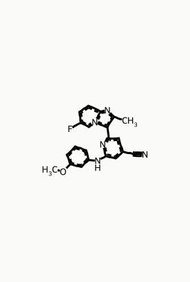 COc1cccc(Nc2cc(C#N)cc(-c3c(C)nc4ccc(F)cn34)n2)c1